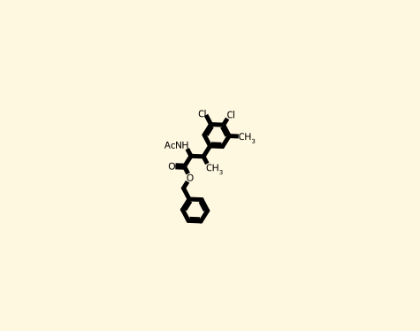 CC(=O)NC(C(=O)OCc1ccccc1)C(C)c1cc(C)c(Cl)c(Cl)c1